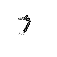 C=C(c1ccc(C2(OCCCC)CCC2)cc1)N1CC2CN(c3ccc(C(F)(F)F)cc3)CC2C1